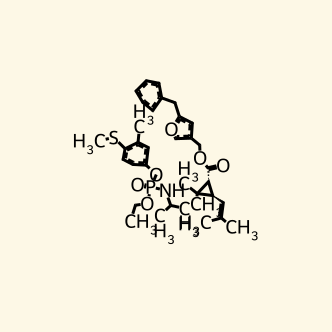 CC(C)=C[C@@H]1[C@@H](C(=O)OCc2coc(Cc3ccccc3)c2)C1(C)C.CCOP(=O)(NC(C)C)Oc1ccc(SC)c(C)c1